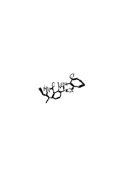 C=Cc1[nH]c(=O)c2c(ccc3nc(Nc4c(Cl)cccc4Cl)n(C)c32)c1C